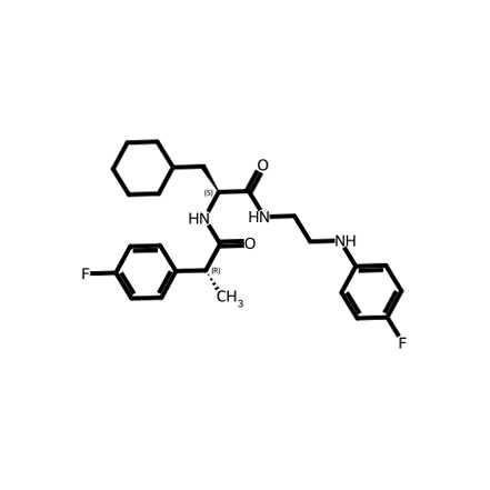 C[C@@H](C(=O)N[C@@H](CC1CCCCC1)C(=O)NCCNc1ccc(F)cc1)c1ccc(F)cc1